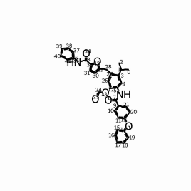 CC(C)c1cc(NC(=O)c2ccc(Oc3ccccc3)cc2)c(OC=O)cc1Cc1ccc(C(=O)Nc2ccccc2)o1